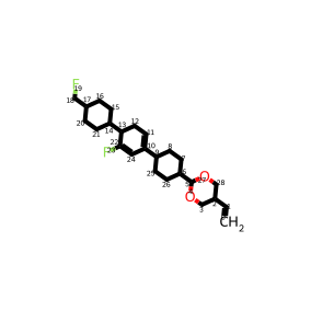 C=CC1COC(C2CCC(C3=CCC(C4CCC(CF)CC4)C(F)=C3)CC2)OC1